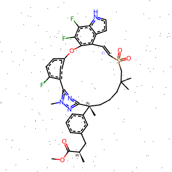 COC(=O)[C@H](C)Cc1cccc([C@@]2(C)CCCC(C)(C)CS(=O)(=O)/C=C/c3c(c(F)c(F)c4[nH]ccc34)Oc3ccc(F)c(c3)-c3nc2nn3C)c1